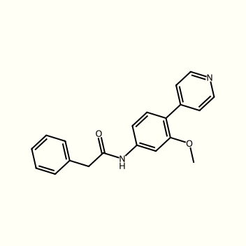 COc1cc(NC(=O)Cc2ccccc2)ccc1-c1ccncc1